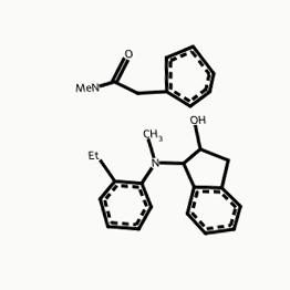 CCc1ccccc1N(C)C1c2ccccc2CC1O.CNC(=O)Cc1ccccc1